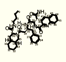 CCCCNC(=O)[C@@H]1C[C@@H]2CCCC[C@@H]2CN1[C@H](O)C[C@H](Cc1ccccc1)NC(=O)[C@H](CC(N)=O)NC(=O)c1ccc2ccccc2n1